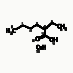 CCCCC(CC)C(=O)O.[CsH]